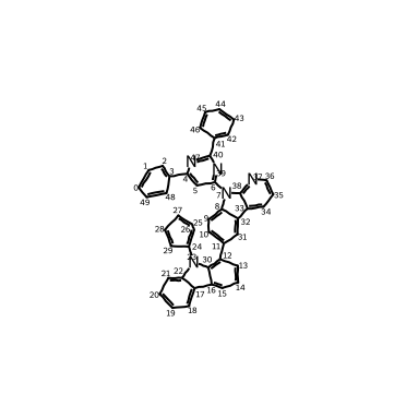 c1ccc(-c2cc(-n3c4ccc(-c5cccc6c7ccccc7n(-c7ccccc7)c56)cc4c4cccnc43)nc(-c3ccccc3)n2)cc1